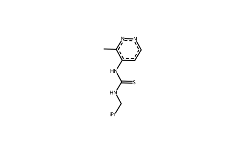 Cc1nnccc1NC(=S)NCC(C)C